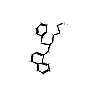 CCCCCC(Cc1cccc2ccccc12)Nc1ccccc1